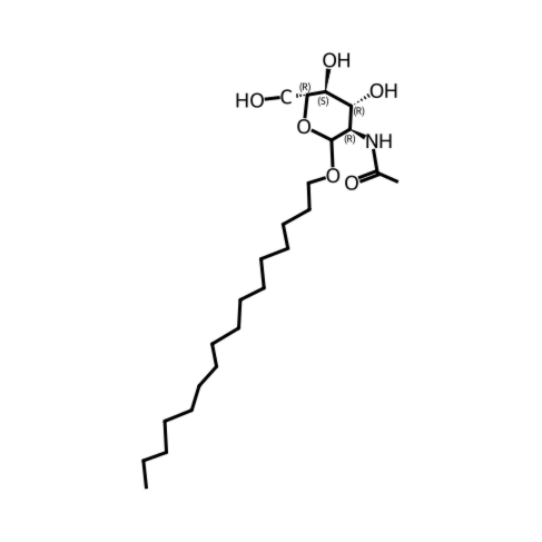 CCCCCCCCCCCCCCCCOC1O[C@H](CO)[C@@H](O)[C@H](O)[C@H]1NC(C)=O